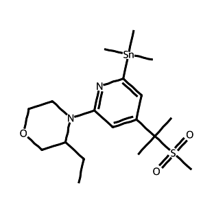 CCC1COCCN1c1cc(C(C)(C)S(C)(=O)=O)c[c]([Sn]([CH3])([CH3])[CH3])n1